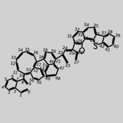 C=Cc1ccccc1C(=C)c1ccccccc(-c2ccc(C(=C)/C=c3\c(=C)oc4c3ccc3ccc5c6ccccc6sc5c34)c3ccccc23)c2ccccc12